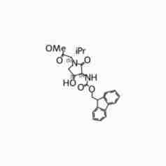 COC(=O)[C@H](C(C)C)N1C[C@H](O)[C@H](NC(=O)OCC2c3ccccc3-c3ccccc32)C1=O